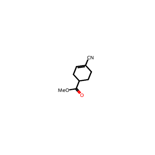 COC(=O)C1CC=C(C#N)CC1